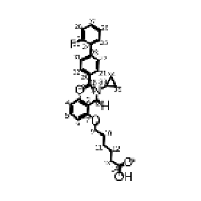 [2H]C(c1ccccc1OCCCCCC(=O)O)N(C(=O)c1ccc(-c2ccccc2F)cc1)C1CC1